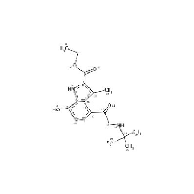 CCOC(=O)c1[nH]c2c(O)ccc(C(=O)CNC(C)(C)C)c2c1C